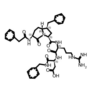 N=C(N)NCCC[C@H](NC(=O)[C@@H]1C[C@H](Cc2ccccc2)[C@H]2CC[C@H](NC(=O)Cc3ccccc3)C(=O)N21)C(=O)N[C@@H](CC(=O)O)C(=O)NCc1ccccc1